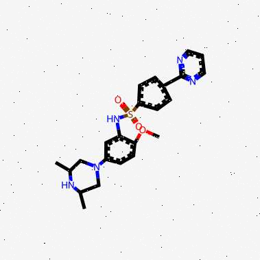 COc1ccc(N2CC(C)NC(C)C2)cc1NS(=O)(=O)c1ccc(-c2ncccn2)cc1